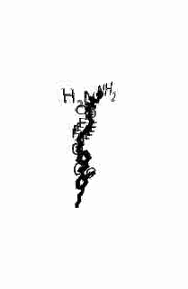 CCCCCc1ccc(-c2cc3ccc(OCCC(F)(F)C(F)(F)C(F)(F)C(F)(F)CCOC(=O)C(C)(C)C(N)CC(C)(C)N)cc3o2)c(OC)c1